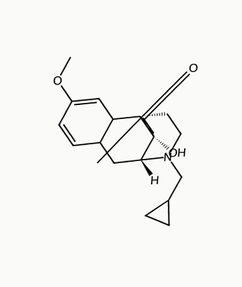 COC1=CC2C(C=C1)C[C@H]1N(CC3CC3)CC[C@@]23CC(=O)CC[C@@]13O